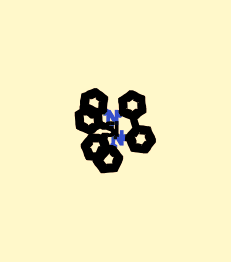 c1ccc(N2c3ccccc3-c3ccccc3N(c3ccccc3)[Si]2(c2ccccc2)c2ccccc2)cc1